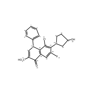 O=C(O)c1cn(-c2ccccn2)c2c(Cl)c(N3CCC(O)C3)c(F)cc2c1=O